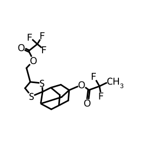 CC(F)(F)C(=O)OC12CC3CC(C1)C1(SCC(COC(=O)C(F)(F)F)S1)C(C3)C2